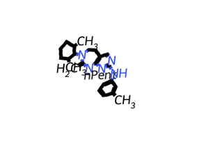 C=C1N(CCCCC)c2nc(Nc3cccc(C)c3)ncc2CCN1C1C(C)CCCC1C